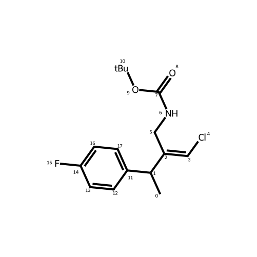 CC(C(=CCl)CNC(=O)OC(C)(C)C)c1ccc(F)cc1